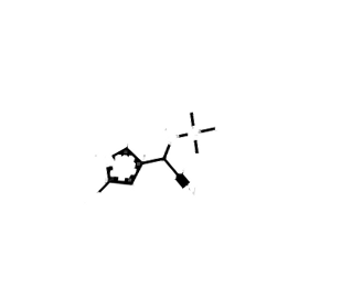 C[Si](C)(C)OC(C#N)c1csc(F)c1